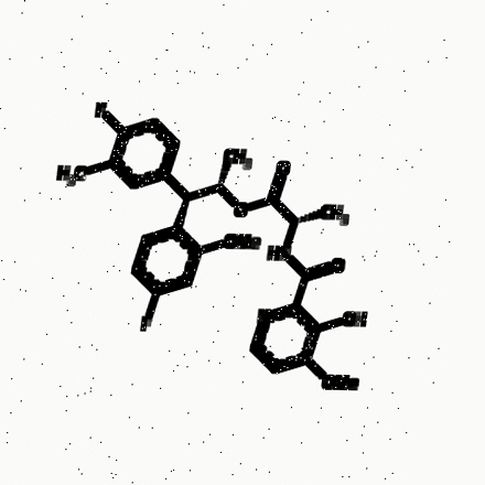 COc1cc(F)ccc1[C@@H](c1ccc(F)c(C)c1)[C@H](C)OC(=O)[C@H](C)NC(=O)c1nccc(OC)c1O